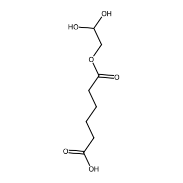 O=C(O)CCCCC(=O)OCC(O)O